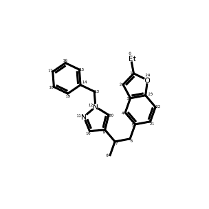 CCc1cc2cc(CC(C)c3cnn(Cc4ccccc4)c3)ccc2o1